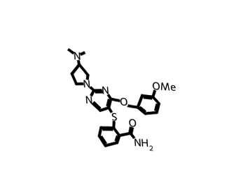 COc1cccc(COc2nc(N3CCC(N(C)C)C3)ncc2Sc2ccccc2C(N)=O)c1